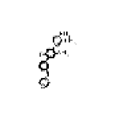 C[C@@H]1CN(c2cc(F)c(-c3cccc(CN4CCOCC4)c3)cc2N)CCN1C